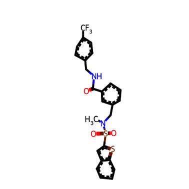 CN(Cc1cccc(C(=O)NCc2ccc(C(F)(F)F)cc2)c1)S(=O)(=O)c1cc2ccccc2s1